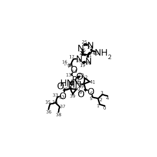 CCC(CC)COC(=O)C1(NP(=O)(CO[C@H](C)Cn2cnc3c(N)ncnc32)NC2(C(=O)OCC(CC)CC)CC2)CC1